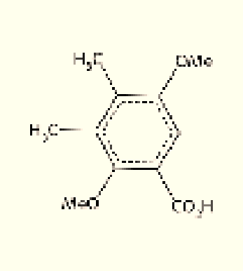 COc1cc(C(=O)O)c(OC)c(C)c1C